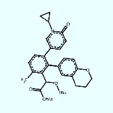 COC(=O)C(OC(C)(C)C)c1c(C(F)(F)F)ccc(-c2ccc(=O)n(C3CC3)c2)c1-c1ccc2c(c1)CCCO2